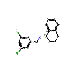 Brc1cc(Br)cc(CN[C@H]2CCCc3ccccc32)c1